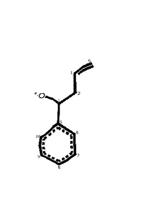 C=CCC([O])c1ccccc1